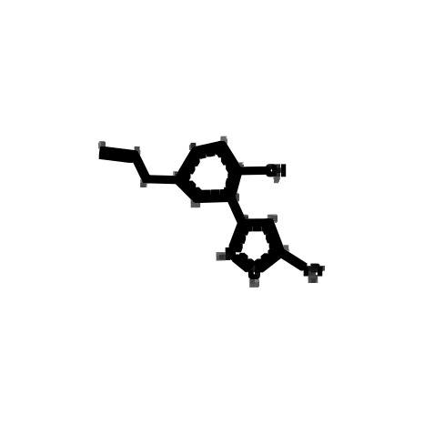 C=CCc1ccc(O)c(-c2cc(CCC)on2)c1